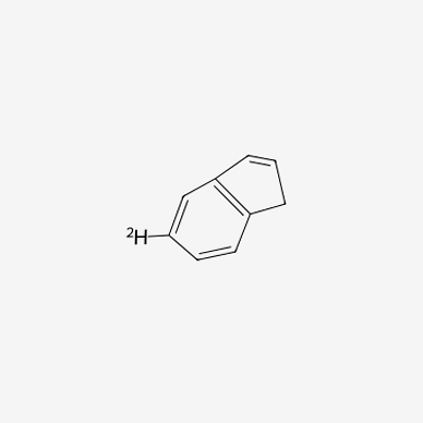 [2H]c1ccc2c(c1)C=CC2